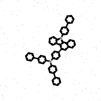 c1ccc(-c2ccc(N(c3ccc(-c4ccccc4)cc3)c3ccc(-c4cc5ccccc5c5c4c4ccccc4n5-c4ccc(-c5ccccc5)cc4)cc3)cc2)cc1